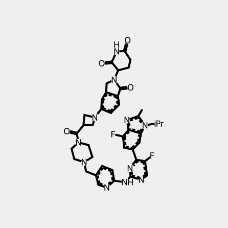 Cc1nc2c(F)cc(-c3nc(Nc4ccc(CN5CCN(C(=O)C6CN(c7ccc8c(c7)CN(C7CCC(=O)NC7=O)C8=O)C6)CC5)cn4)ncc3F)cc2n1C(C)C